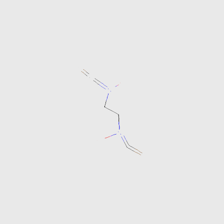 [O-][N+](=C=S)CC[N+]([O-])=C=S